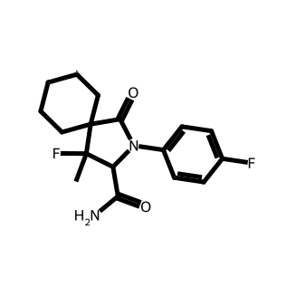 CC1(F)C(C(N)=O)N(c2ccc(F)cc2)C(=O)C12C[CH]CCC2